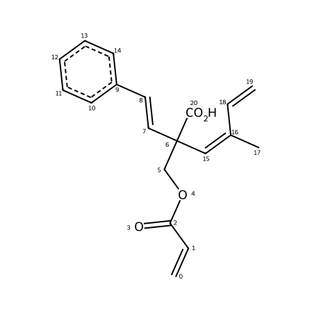 C=CC(=O)OCC(C=Cc1ccccc1)(C=C(C)C=C)C(=O)O